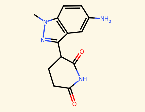 Cn1nc(C2CCC(=O)NC2=O)c2cc(N)ccc21